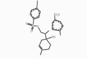 CC1=CCC(O)(C(C)COS(=O)(=O)c2ccc(C)cc2)CC1.Cc1ccc(S(=O)(=O)O)cc1